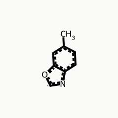 Cc1ccc2n[c]oc2c1